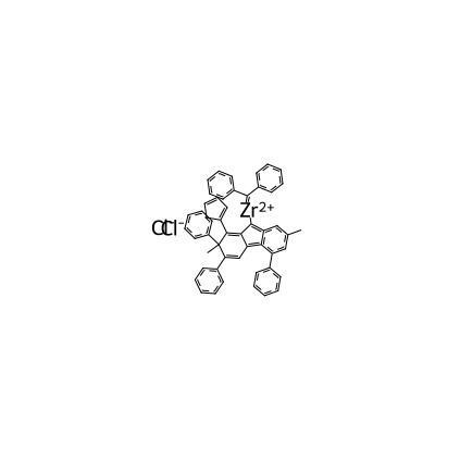 Cc1cc(-c2ccccc2)c2c(c1)=[C]([Zr+2]=[C](c1ccccc1)c1ccccc1)C1=C(C3=CC=CC3)C(C)(c3ccccc3)C(c3ccccc3)=CC=21.[Cl-].[Cl-]